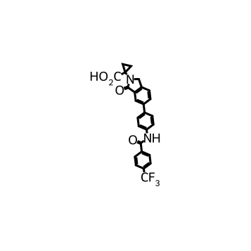 O=C(Nc1ccc(-c2ccc3c(c2)C(=O)N(C2(C(=O)O)CC2)C3)cc1)c1ccc(C(F)(F)F)cc1